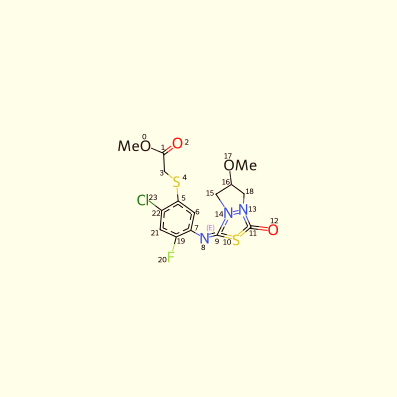 COC(=O)CSc1cc(/N=c2/sc(=O)n3n2CC(OC)C3)c(F)cc1Cl